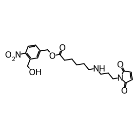 O=C(CCCCCNCCCN1C(=O)C=CC1=O)OCc1ccc([N+](=O)[O-])c(CO)c1